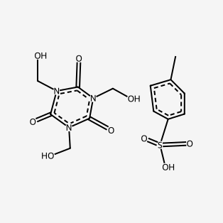 Cc1ccc(S(=O)(=O)O)cc1.O=c1n(CO)c(=O)n(CO)c(=O)n1CO